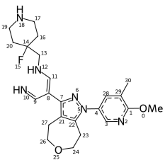 COc1ncc(-n2nc(/C(C=N)=C/NCC3(F)CCNCC3)c3c2CCOCC3)cc1C